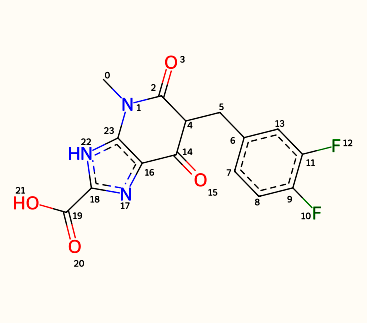 CN1C(=O)C(Cc2ccc(F)c(F)c2)C(=O)c2nc(C(=O)O)[nH]c21